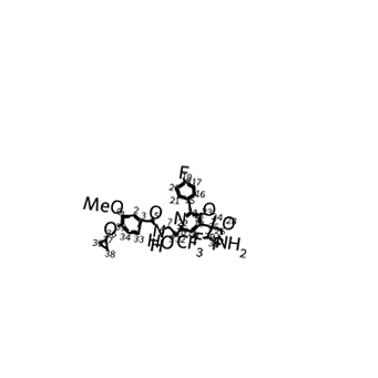 COc1cc(C(=O)NCC(O)(c2cc3c(c(-c4ccc(F)cc4)n2)OCC3(C(N)=O)C(F)F)C(F)(F)F)ccc1OC1CC1